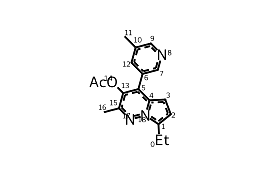 CCc1ccc2c(-c3cncc(C)c3)c(OC(C)=O)c(C)nn12